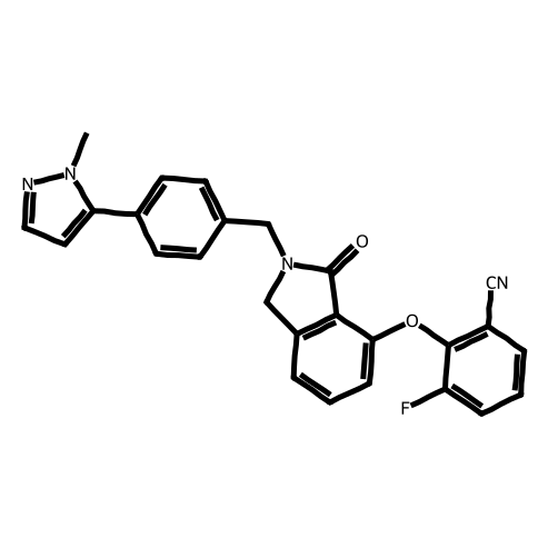 Cn1nccc1-c1ccc(CN2Cc3cccc(Oc4c(F)cccc4C#N)c3C2=O)cc1